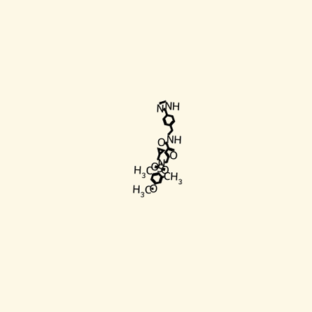 COc1cc(C)c(S(=O)(=O)N(Cc2cc(C(=O)NCCC3=CCC(C4=NCCN4)C=C3)co2)CC2CC2)c(C)c1